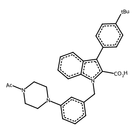 CC(=O)N1CCN(c2cccc(Cn3c(C(=O)O)c(-c4ccc(C(C)(C)C)cc4)c4ccccc43)c2)CC1